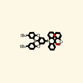 CC(C)(C)c1ccc2c(c1)B1c3cc(C(C)(C)C)ccc3Oc3cc(N4c5ccccc5C5(c6ccccc6Oc6ccccc65)c5ccccc54)cc(c31)O2